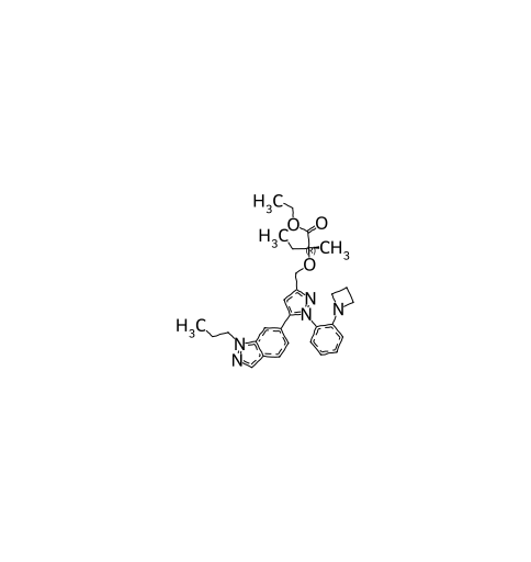 CCCn1ncc2ccc(-c3cc(CO[C@](C)(CC)C(=O)OCC)nn3-c3ccccc3N3CCC3)cc21